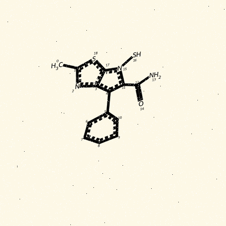 Cc1nc2c(-c3ccccc3)c(C(N)=O)n(S)c2s1